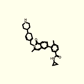 Cc1ccc(C(=O)NC2CC2)cc1-c1ccc2c(=O)n(CC3=CCC(C4CCNCC4)C=C3)c(C)cc2c1